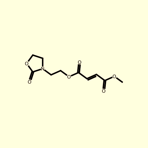 COC(=O)/C=C/C(=O)OCCN1CCOC1=O